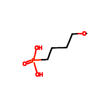 [O]CCCCP(=O)(O)O